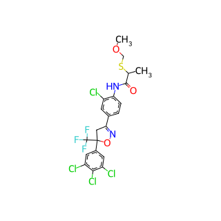 COCSC(C)C(=O)Nc1ccc(C2=NOC(c3cc(Cl)c(Cl)c(Cl)c3)(C(F)(F)F)C2)cc1Cl